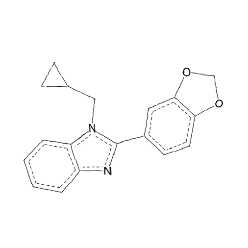 c1ccc2c(c1)nc(-c1ccc3c(c1)OCO3)n2CC1CC1